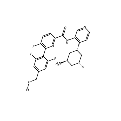 CCOCc1cc(F)c(-c2nc(C(=O)Nc3cnccc3[C@@H]3C[C@H](C)C[C@@H](N)C3)ccc2F)c(F)c1